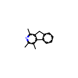 Cc1nc(C)c2c(c1C)-c1ccccc1C2